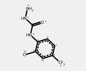 NNC(=O)Nc1ccc(C(F)(F)F)cc1Cl